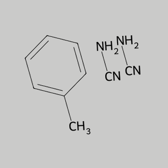 Cc1ccccc1.N#CN.N#CN